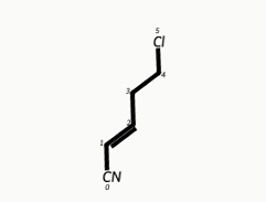 N#CC=CCCCl